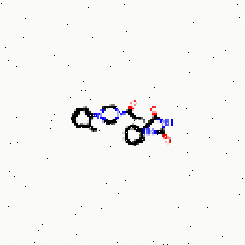 Cc1ccccc1N1CCN(C(=O)CC[C@@]2(c3ccccc3)NC(=O)NC2=O)CC1